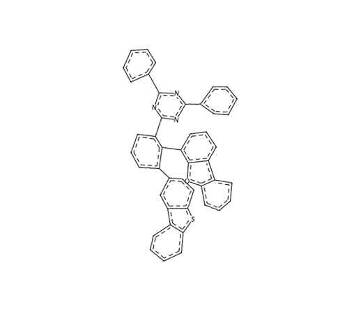 c1ccc(-c2nc(-c3ccccc3)nc(-c3cccc(-c4ccc5sc6ccccc6c5c4)c3-c3cccc4c3oc3ccccc34)n2)cc1